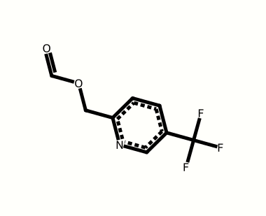 O=COCc1ccc(C(F)(F)F)cn1